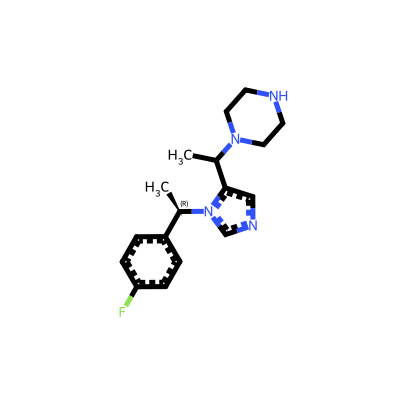 CC(c1cncn1[C@H](C)c1ccc(F)cc1)N1CCNCC1